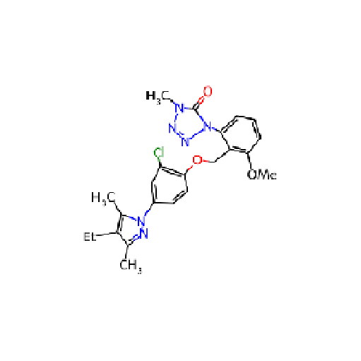 CCc1c(C)nn(-c2ccc(OCc3c(OC)cccc3-n3nnn(C)c3=O)c(Cl)c2)c1C